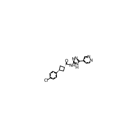 O=C(Nc1nnc(-c2ccnnc2)[nH]1)[C@H]1C[C@H](c2ccc(Cl)cc2)C1